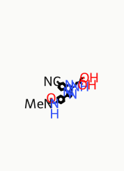 CNC(=O)Nc1ccc(-c2cnc3c(NCC(O)CO)nc4cc(C#N)ccc4n23)cc1